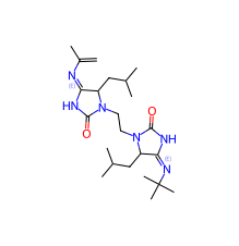 C=C(C)/N=C1/NC(=O)N(CCN2C(=O)N/C(=N/C(C)(C)C)C2CC(C)C)C1CC(C)C